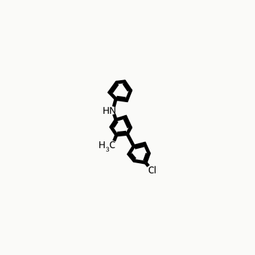 Cc1cc(Nc2ccccc2)ccc1-c1ccc(Cl)cc1